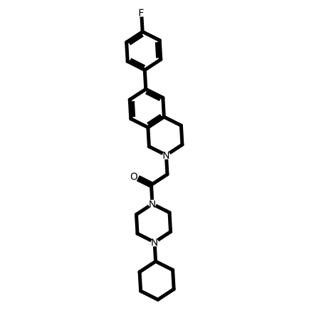 O=C(CN1CCc2cc(-c3ccc(F)cc3)ccc2C1)N1CCN(C2CCCCC2)CC1